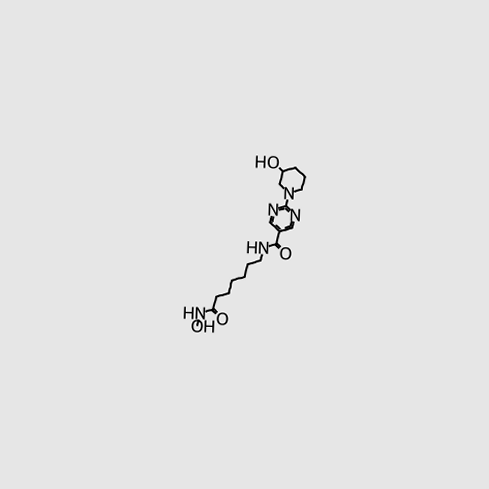 O=C(CCCCCCNC(=O)c1cnc(N2CCCC(O)C2)nc1)NO